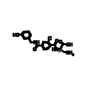 NC[C@H](NC(=O)c1ccc(C(=O)NCc2cccc(O)c2)cc1Cl)C(=O)O